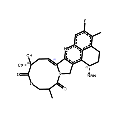 CC[C@]1(O)C/C=C2/c3nc4cc(F)c(C)c5c4c(c3CN2C(=O)C(C)COC1=O)[C@@H](NC)CC5